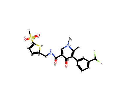 Cc1c(-c2cccc(C(F)F)c2)c(=O)c(C(=O)NCc2ccc(S(C)(=O)=O)s2)cn1C(C)C